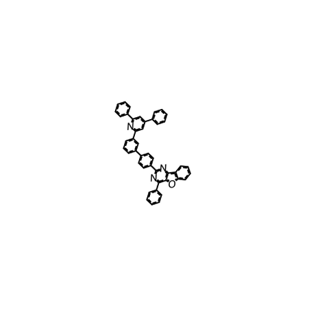 c1ccc(-c2cc(-c3ccccc3)nc(-c3cccc(-c4ccc(-c5nc(-c6ccccc6)c6oc7ccccc7c6n5)cc4)c3)c2)cc1